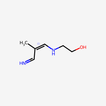 C/C(C=N)=C/NCCO